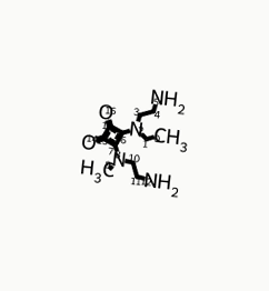 CCN(CCN)c1c(N(C)CCN)c(=O)c1=O